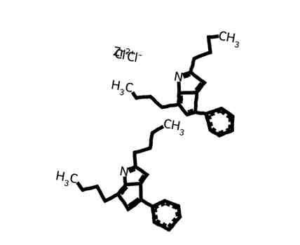 CCCCC1=NC2=C(CCCC)C=C(c3ccccc3)C2=C1.CCCCC1=NC2=C(CCCC)C=C(c3ccccc3)C2=C1.[Cl-].[Cl-].[Zr+2]